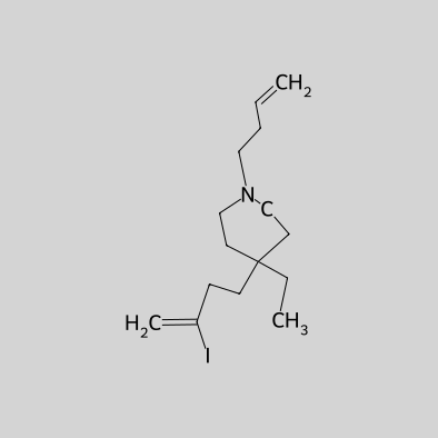 C=CCCN1CCC(CC)(CCC(=C)I)CC1